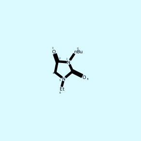 CCCCN1C(=O)CN(CC)C1=O